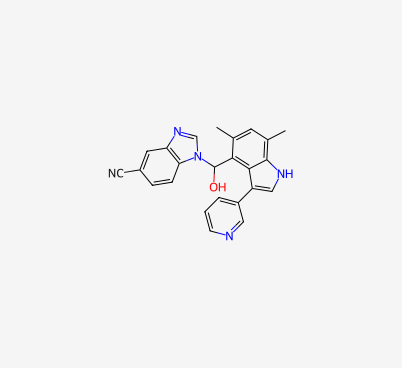 Cc1cc(C)c2[nH]cc(-c3cccnc3)c2c1C(O)n1cnc2cc(C#N)ccc21